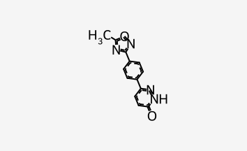 Cc1nc(-c2ccc(-c3ccc(=O)[nH]n3)cc2)no1